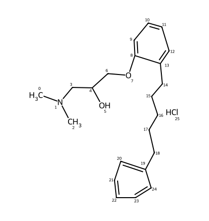 CN(C)CC(O)COc1ccccc1CCCCCc1ccccc1.Cl